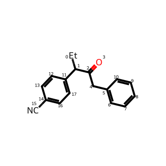 CCC(C(=O)Cc1ccccc1)c1ccc(C#N)cc1